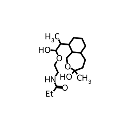 CCC(=O)NCCOC(O)C(C)C1CCCC2CCC(C)(O)OCC21